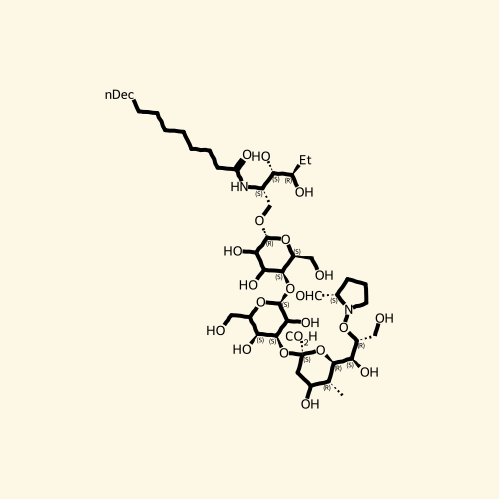 CCCCCCCCCCCCCCCCCC(=O)N[C@@H](CO[C@@H]1O[C@@H](CO)[C@@H](O[C@@H]2OC(CO)[C@H](O)[C@H](O[C@]3(C(=O)O)CC(O)[C@@H](C)[C@H]([C@H](O)[C@@H](CO)ON4CCC[C@H]4C=O)O3)C2O)C(O)C1O)[C@H](O)[C@H](O)CC